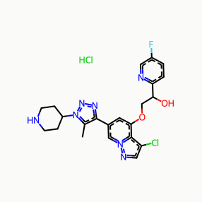 Cc1c(-c2cc(OCC(O)c3ccc(F)cn3)c3c(Cl)cnn3c2)nnn1C1CCNCC1.Cl